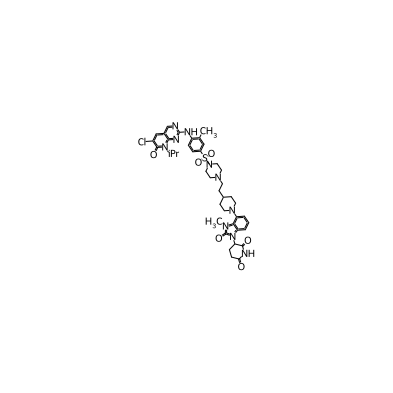 Cc1cc(S(=O)(=O)N2CCN(CCC3CCN(c4cccc5c4n(C)c(=O)n5C4CCC(=O)NC4=O)CC3)CC2)ccc1Nc1ncc2cc(Cl)c(=O)n(C(C)C)c2n1